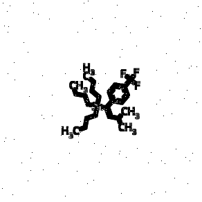 CCC[CH2][Sn]([CH2]CCC)([CH2]CCC)/[C](=C/C(C)C)c1ccc(C(F)(F)F)cc1